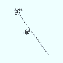 CCCCCCCCCCCCCCCCCCCCCCCCCCCCCCCCCCOC(=O)[C@@H](N)C(C)C.CCS(=O)(=O)O